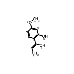 CC=C(O)c1ccc(OC)cc1O